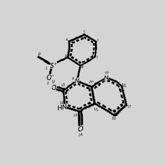 C[S+]([O-])c1ccccc1-n1c(=O)[nH]c(=O)c2cccnc21